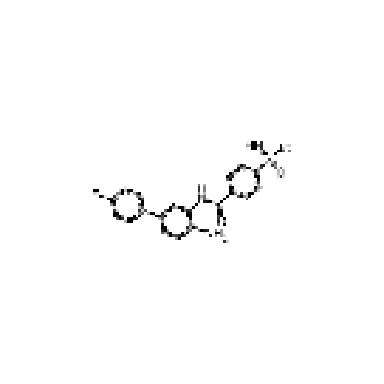 CCS(=N)(=O)c1ccc(C(=O)Nc2cc(-c3ccc(F)cc3)ccc2N)cc1